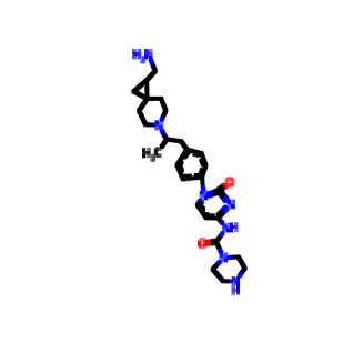 CC(Cc1ccc(-n2ccc(NC(=O)N3CCNCC3)nc2=O)cc1)N1CCC2(CC1)CC2CN